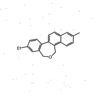 CCc1ccc2c(c1)COCc1c-2ccc2cc(C)ccc12